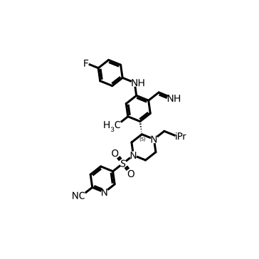 Cc1cc(Nc2ccc(F)cc2)c(C=N)cc1[C@H]1CN(S(=O)(=O)c2ccc(C#N)nc2)CCN1CC(C)C